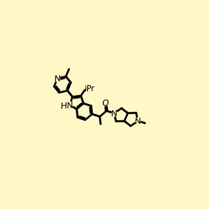 Cc1cc(-c2[nH]c3ccc(C(C)C(=O)N4CC5CN(C)CC5C4)cc3c2C(C)C)ccn1